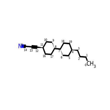 CCCC[C@H]1CC[C@H]([C@H]2CC[C@H](C#CC#N)CC2)CC1